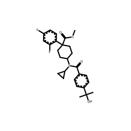 COC(=O)C1(c2ccc(F)cc2F)CCC(N(C(=O)c2ccc(C(C)(C)O)cc2)C2CC2)CC1